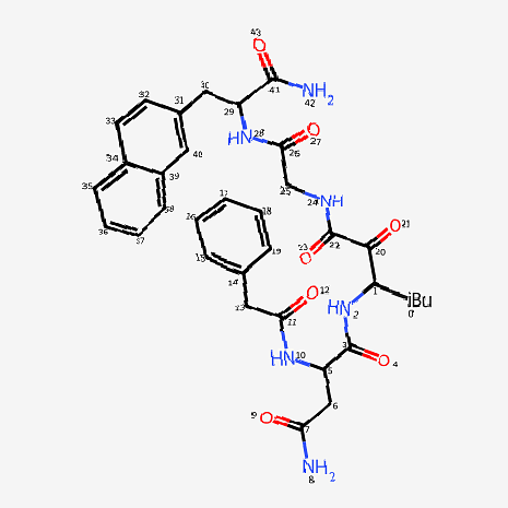 CCC(C)C(NC(=O)C(CC(N)=O)NC(=O)Cc1ccccc1)C(=O)C(=O)NCC(=O)NC(Cc1ccc2ccccc2c1)C(N)=O